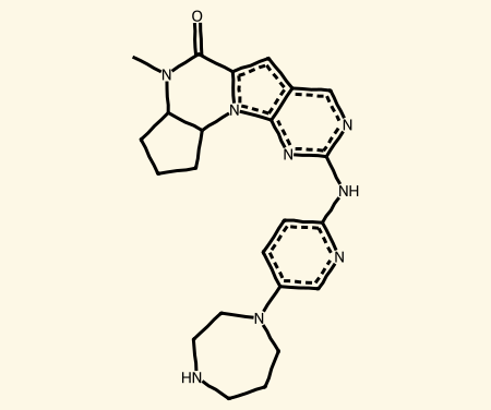 CN1C(=O)c2cc3cnc(Nc4ccc(N5CCCNCC5)cn4)nc3n2C2CCCC21